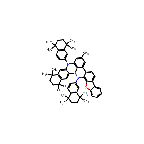 Cc1cc2c3c(c1)N(c1ccc4c(c1)C(C)(C)CCC4(C)C)c1cc4c(cc1B3N(c1ccc3c(c1)C(C)(C)CCC3(C)C)c1c-2ccc2c1oc1ccccc12)C(C)(C)CCC4(C)C